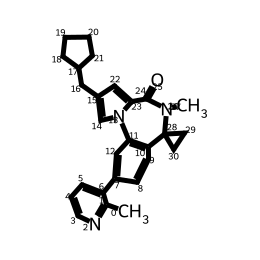 Cc1ncccc1-c1ccc2c(c1)-n1cc(CC3CCCC3)cc1C(=O)N(C)C21CC1